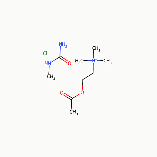 CC(=O)OCC[N+](C)(C)C.CNC(N)=O.[Cl-]